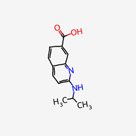 CC(C)Nc1ccc2ccc(C(=O)O)cc2n1